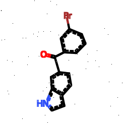 O=C(c1cccc(Br)c1)c1ccc2cc[nH]c2c1